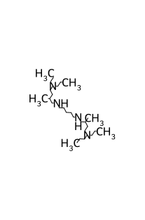 CCCN(CCC)CCC(C)CNCCCCCNCC(C)CCN(CCC)CCC